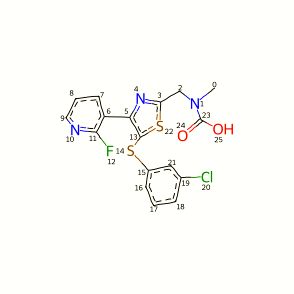 CN(Cc1nc(-c2cccnc2F)c(Sc2cccc(Cl)c2)s1)C(=O)O